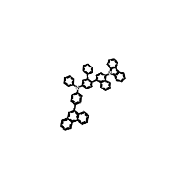 c1ccc(-c2cc(N(c3ccccc3)c3ccc(-c4cc5ccccc5c5ccccc45)cc3)ccc2-c2ccc(-n3c4ccccc4c4ccccc43)c3ccccc23)cc1